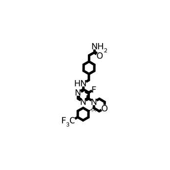 NC(=O)CC1CCC(CNc2ncnc(N3CCOC[C@@H]3C3CCC(C(F)(F)F)CC3)c2F)CC1